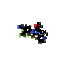 CC1(C)C(=O)N(c2ccc(C#N)c(C(F)(F)F)c2F)C(=S)N1c1cccnc1